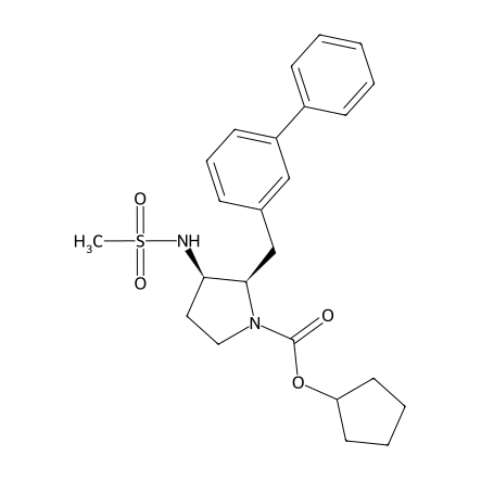 CS(=O)(=O)N[C@@H]1CCN(C(=O)OC2CCCC2)[C@@H]1Cc1cccc(-c2ccccc2)c1